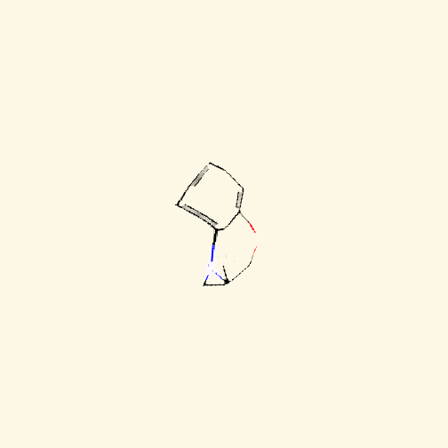 CC12COc3ccccc3N1C2